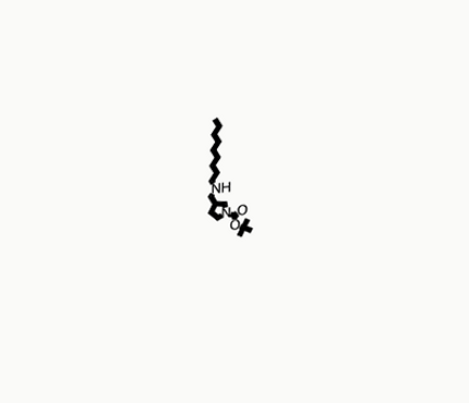 CCCCCCCCCNCC1CCN(C(=O)OC(C)(C)C)C1